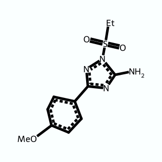 CCS(=O)(=O)n1nc(-c2ccc(OC)cc2)nc1N